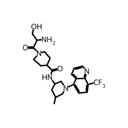 CC1CC(NC(=O)C2CCN(C(=O)C(N)CO)CC2)CN(c2ccc(C(F)(F)F)c3ncccc23)C1